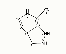 N#CC1=C2NNCC2C=CN1